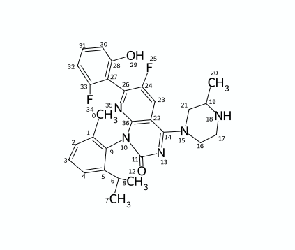 Cc1cccc(C(C)C)c1-n1c(=O)nc(N2CCNC(C)C2)c2cc(F)c(-c3c(O)cccc3F)nc21